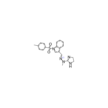 Cc1ccc(S(=O)(=O)n2cc(/C=N/N(C)C3=NCCN3)c3ccccc32)cc1